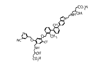 Cc1c(COc2cc(OCc3cncc(C#N)c3)c(CNCC(O)CC(=O)O)cc2Cl)cccc1-c1cccc(-c2ccc3c(ccn3CCNCC(O)CC(=O)O)c2)c1C